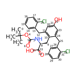 CC(C)(C)OC(=O)N[C@@H](Cc1c(Cc2ccccc2Cl)cc(O)cc1Cc1ccccc1Cl)C(=O)O